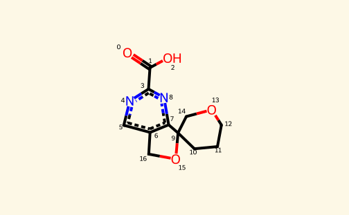 O=C(O)c1ncc2c(n1)C1(CCCOC1)OC2